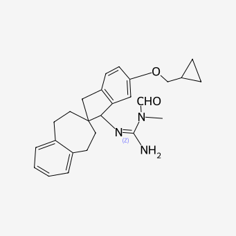 CN(C=O)/C(N)=N\C1c2cc(OCC3CC3)ccc2CC12CCc1ccccc1CC2